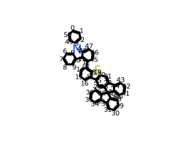 c1ccc(-n2c3ccccc3c3c(-c4cccc5c4sc4cc6c(cc45)C4(c5ccccc5-c5ccccc54)c4ccccc4-6)cccc32)cc1